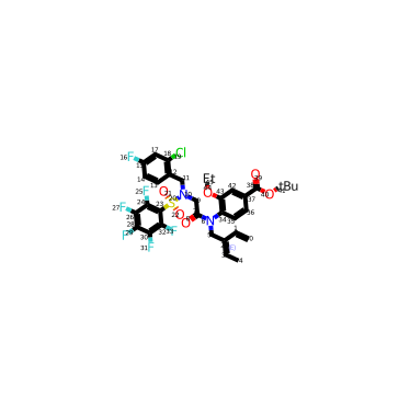 C=C/C(=C\C)CN(C(=O)CN(Cc1ccc(F)cc1Cl)S(=O)(=O)c1c(F)c(F)c(F)c(F)c1F)c1ccc(C(=O)OC(C)(C)C)cc1OCC